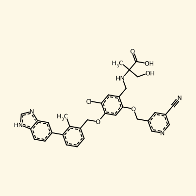 Cc1c(COc2cc(OCc3cncc(C#N)c3)c(CNC(C)(CO)C(=O)O)cc2Cl)cccc1-c1ccc2[nH]cnc2c1